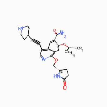 CC(C)Oc1cc2c(OC[C@@H]3CCC(=O)N3)ncc(C#CC3CCNCC3)c2cc1C(N)=O